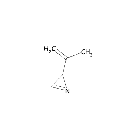 C=C(C)C1C=N1